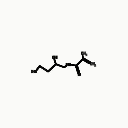 C=C(C)C(=O)NCC(O)CCO